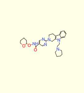 O=C(NOC1CCCCO1)c1cnc(N2CCc3c(n(CCN4CCCCC4)c4ccccc34)C2)nc1